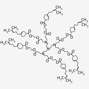 CC(C)=CCCC1=CCC(C(=O)OCCOC(=O)CCN(CCC(=O)OCCOC(=O)C2CC=C(CCC=C(C)C)CC2)CCN(CCN(CCC(=O)OCCOC(=O)C2CC=C(CCC=C(C)C)CC2)CCC(=O)OCCOC(=O)C2CC=C(CCC=C(C)C)CC2)CCN(CCC(=O)OCCOC(=O)C2CC=C(CCC=C(C)C)CC2)CCC(=O)OCCOC(=O)C2CC=C(CCC=C(C)C)CC2)CC1